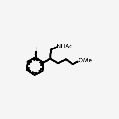 COCCCC(CNC(C)=O)c1ccccc1I